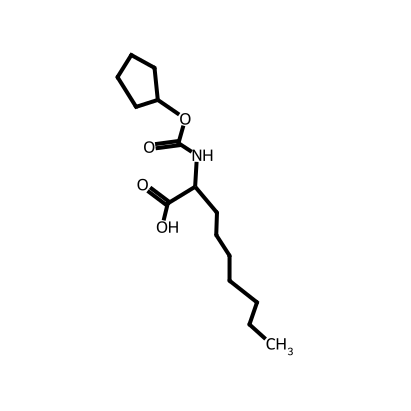 CCCCCCCC(NC(=O)OC1CCCC1)C(=O)O